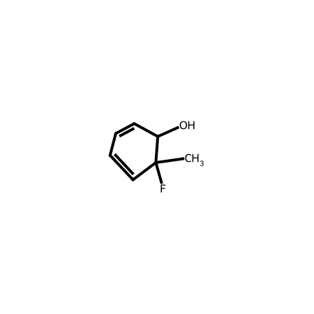 CC1(F)C=CC=CC1O